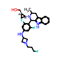 CC1Cc2c([nH]c3ccccc23)C(c2c(F)cc(NC3CN(CCCF)C3)cc2F)N1[C@@H]1C[C@H]1CO